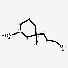 O=C(O)N1CCCC(F)(CCCO)C1